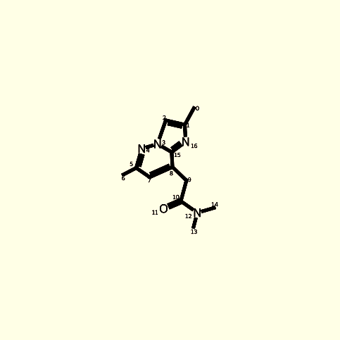 Cc1cn2nc(C)cc(CC(=O)N(C)C)c2n1